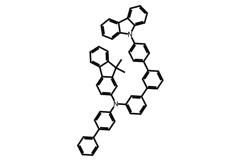 CC1(C)c2ccccc2-c2ccc(N(c3ccc(-c4ccccc4)cc3)c3cccc(-c4cccc(-c5ccc(-n6c7ccccc7c7ccccc76)cc5)c4)c3)cc21